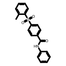 Cc1ccccc1S(=O)(=O)c1ccc(C(=O)Nc2ccccc2)cc1